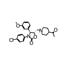 COc1cccc([C@H]2[C@H](CN3CCC(C(C)=O)CC3)OC(=O)N2c2ccc(Cl)cc2)c1